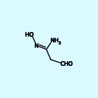 N/C(CC=O)=N\O